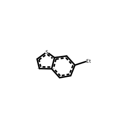 CCc1ccc2[c]csc2c1